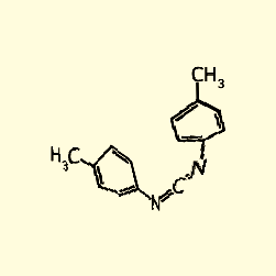 Cc1ccc(N=C=Nc2ccc(C)cc2)cc1